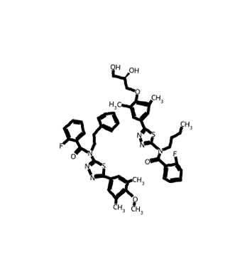 CCCCN(C(=O)c1ccccc1F)c1nnc(-c2cc(C)c(OC[C@H](O)CO)c(C)c2)s1.COc1c(C)cc(-c2nnc(N(CCc3ccccc3)C(=O)c3ccccc3F)s2)cc1C